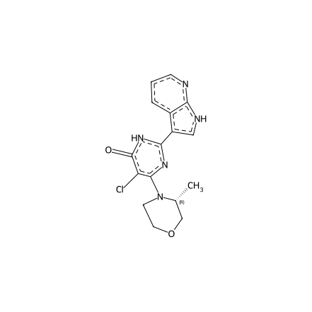 C[C@@H]1COCCN1c1nc(-c2c[nH]c3ncccc23)[nH]c(=O)c1Cl